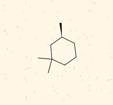 C[C@H]1CCCC(C)(C)C1